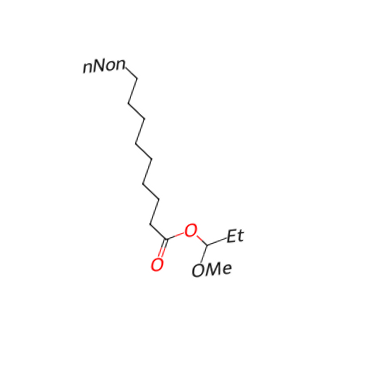 CCCCCCCCCCCCCCCCCC(=O)OC(CC)OC